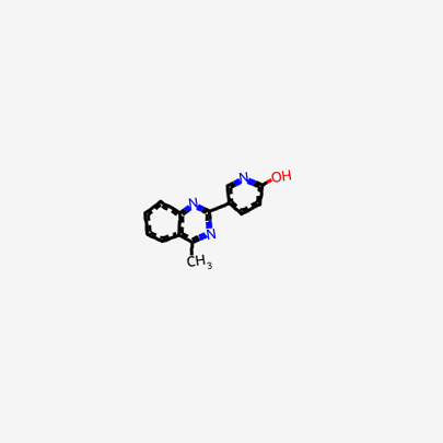 Cc1nc(-c2ccc(O)nc2)nc2ccccc12